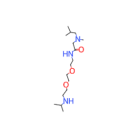 CC(C)CN(C)CC(=O)NCCOCCOCCNC(C)C